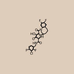 O=C(NCc1ccc(F)c(Cl)c1F)c1cn2c(c(O)c1=O)C(=O)N1C[C@@H]2CCCc2cc(F)c(F)cc21